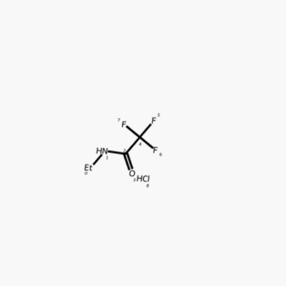 CCNC(=O)C(F)(F)F.Cl